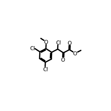 COC(=O)C(=O)C(Cl)c1cc(Cl)cc(Cl)c1OC